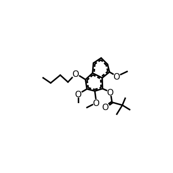 CCCCOc1c(OC)c(OC)c(OC(=O)C(C)(C)C)c2c(OC)cccc12